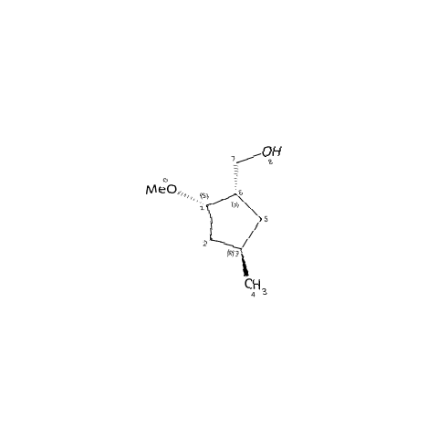 CO[C@H]1C[C@H](C)C[C@H]1CO